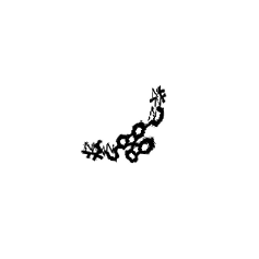 CC1=NC(C)(C)C(C)(C)N1c1cccc(-c2ccc3c(c2)C2(c4ccccc4-c4ccccc42)c2cc(-c4cccc(N5C(C)=NC(C)(C)C5(C)C)n4)ccc2-3)n1